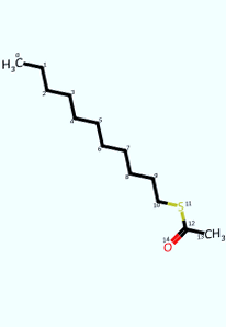 CCCCCCCCCCCSC(C)=O